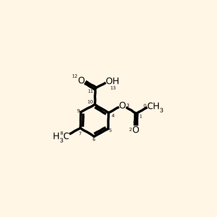 CC(=O)Oc1ccc(C)cc1C(=O)O